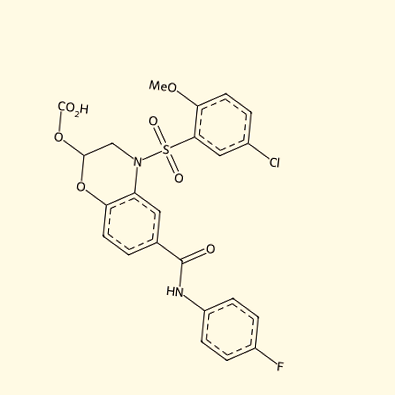 COc1ccc(Cl)cc1S(=O)(=O)N1CC(OC(=O)O)Oc2ccc(C(=O)Nc3ccc(F)cc3)cc21